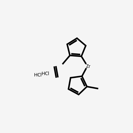 C=C.CC1=[C]([Zr][C]2=C(C)C=CC2)CC=C1.Cl.Cl